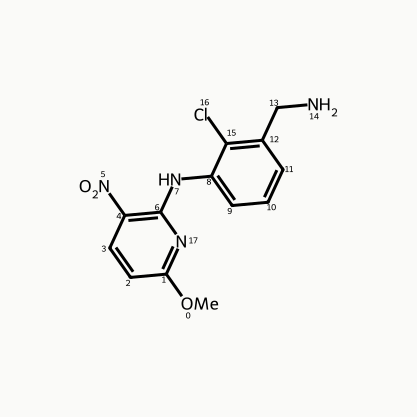 COc1ccc([N+](=O)[O-])c(Nc2cccc(CN)c2Cl)n1